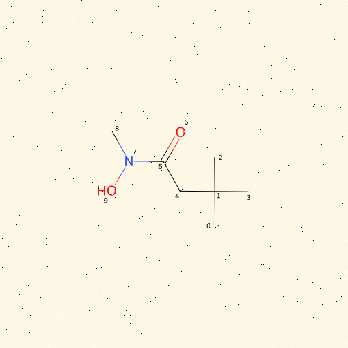 [CH2]C(C)(C)CC(=O)N(C)O